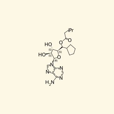 CC(C)CC(=O)OC(C1CCCC1)[C@H]1O[C@@H](n2cnc3c(N)ncnc32)[C@@H](O)[C@@H]1O